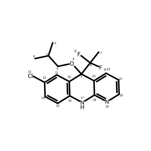 CC(C)COC1(C(C)(F)F)c2cc(Cl)ccc2Nc2ncccc21